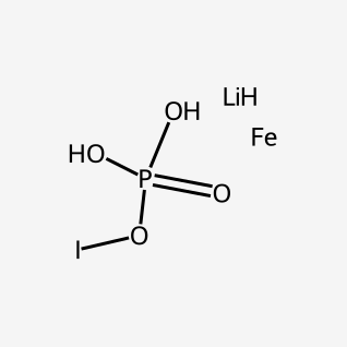 O=P(O)(O)OI.[Fe].[LiH]